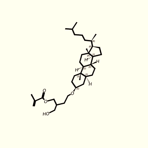 C=C(C)C(=O)OCC(CO)CCO[C@H]1CC[C@@]2(C)[C@@H](CC[C@@H]3[C@@H]2CC[C@]2(C)[C@@H]([C@H](C)CCCC(C)C)CC[C@@H]32)C1